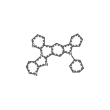 c1ccc(-n2c3ccccc3c3cc4c5cccnc5n5c6cccnc6nc5c4cc32)cc1